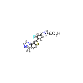 Cn1ccnc1C1(c2ccc3sc(-c4ccc(CN5CC(C(=O)O)C5)cc4F)cc3c2)CC1